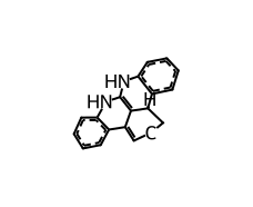 C1=C2C3=C(Nc4ccccc42)Nc2ccccc2[C@@H]3CC1